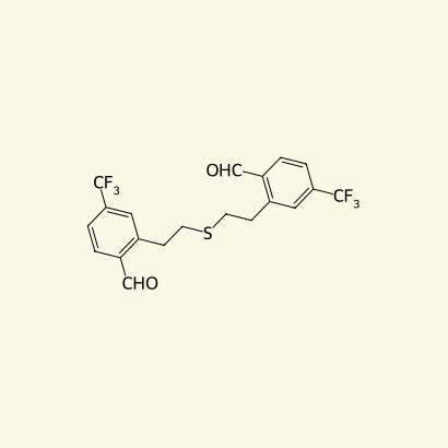 O=Cc1ccc(C(F)(F)F)cc1CCSCCc1cc(C(F)(F)F)ccc1C=O